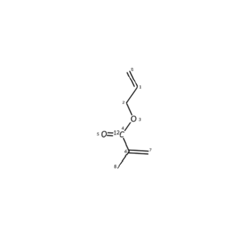 C=CCO[12C](=O)C(=C)C